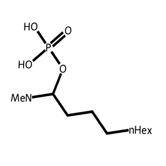 CCCCCCCCCC(NC)OP(=O)(O)O